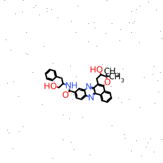 CC1(C)Oc2c(c3nc4cc(C(=O)NC(CO)Cc5ccccc5)ccc4nc3c3ccccc23)CC1O